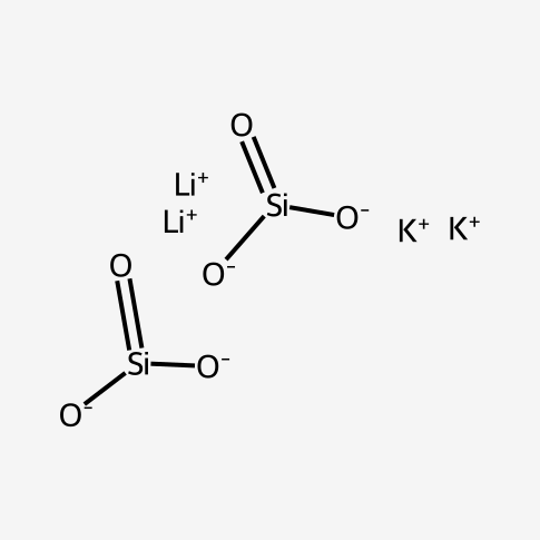 O=[Si]([O-])[O-].O=[Si]([O-])[O-].[K+].[K+].[Li+].[Li+]